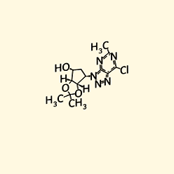 Cc1nc(Cl)c2nnn([C@@H]3C[C@H](O)[C@H]4OC(C)(C)O[C@H]43)c2n1